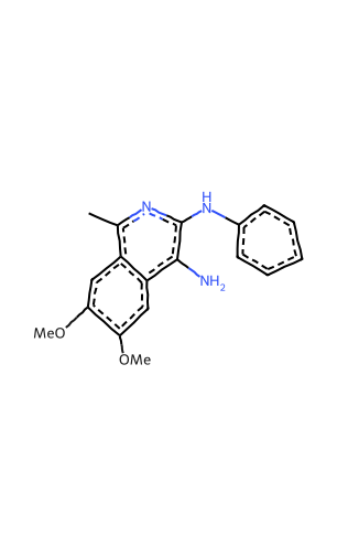 COc1cc2c(C)nc(Nc3ccccc3)c(N)c2cc1OC